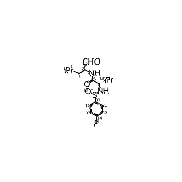 CC(C)C[C@@H](C=O)NC(=O)[C@@H](N[S+]([O-])c1ccc(F)cc1)C(C)C